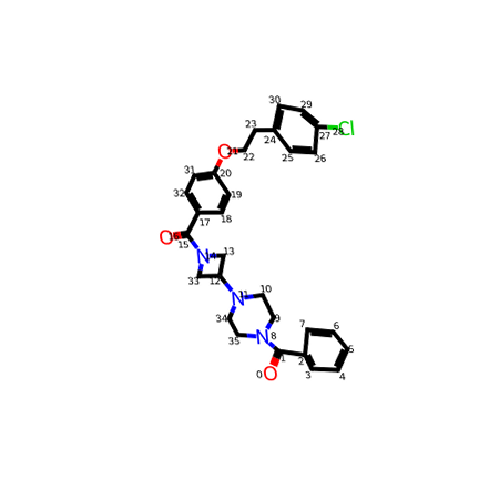 O=C(c1ccccc1)N1CCN(C2CN(C(=O)c3ccc(OCCc4ccc(Cl)cc4)cc3)C2)CC1